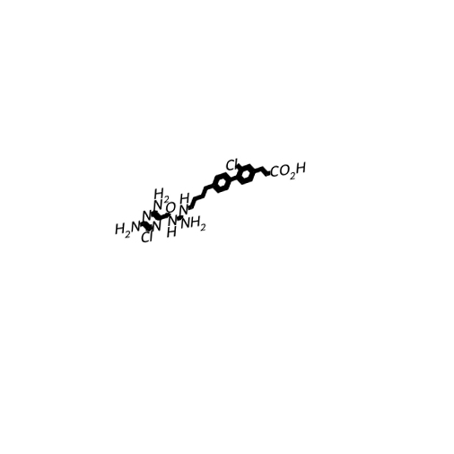 Nc1nc(N)c(C(=O)NC(N)NCCCCc2ccc(-c3ccc(CCC(=O)O)cc3Cl)cc2)nc1Cl